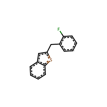 Fc1cc[c]cc1Cc1cc2ccccc2s1